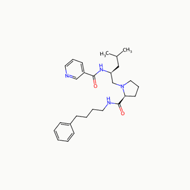 CC(C)C[C@@H](CN1CCC[C@H]1C(=O)NCCCCc1ccccc1)NC(=O)c1cccnc1